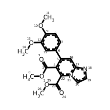 COC(=O)c1c(-c2ccc(OC)c(OC)c2)cc2nccn2c1C(=O)OC